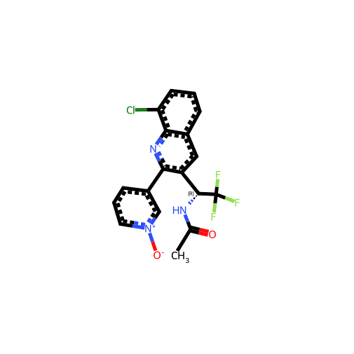 CC(=O)N[C@H](c1cc2cccc(Cl)c2nc1-c1ccc[n+]([O-])c1)C(F)(F)F